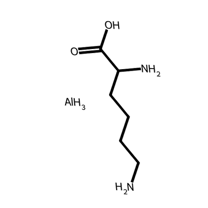 NCCCCC(N)C(=O)O.[AlH3]